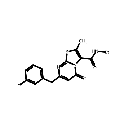 CCNC(=O)c1c(C)sc2nc(Cc3cccc(F)c3)cc(=O)n12